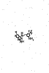 CNc1nc(NCCc2cc(N)cc(C(F)(F)F)c2)c2cc(C3CC3)ncc2n1